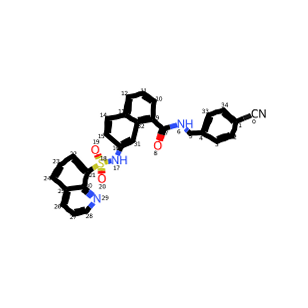 N#Cc1ccc(CNC(=O)c2cccc3ccc(NS(=O)(=O)c4cccc5cccnc45)cc23)cc1